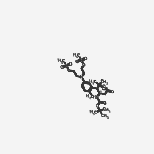 Cc1ccc(N(CCOS(C)(=O)=O)CCOS(C)(=O)=O)cc1C([C@@H](CC(=O)O)NC(=O)OC(C)(C)C)C(C)(C)C